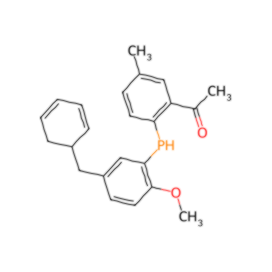 COc1ccc(CC2C=CC=CC2)cc1Pc1ccc(C)cc1C(C)=O